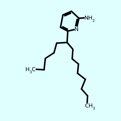 CCCCCCCCC(CCCCC)c1cccc(N)n1